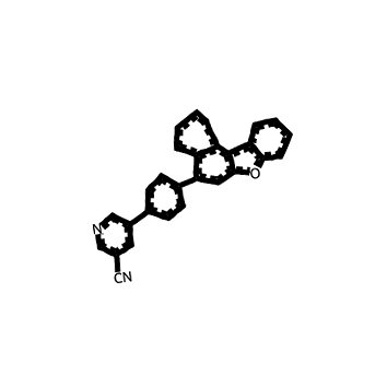 N#Cc1cncc(-c2ccc(-c3cc4oc5ccccc5c4c4ccccc34)cc2)c1